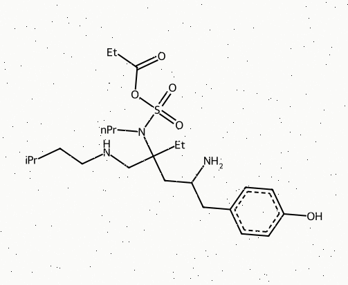 CCCN(C(CC)(CNCCC(C)C)CC(N)Cc1ccc(O)cc1)S(=O)(=O)OC(=O)CC